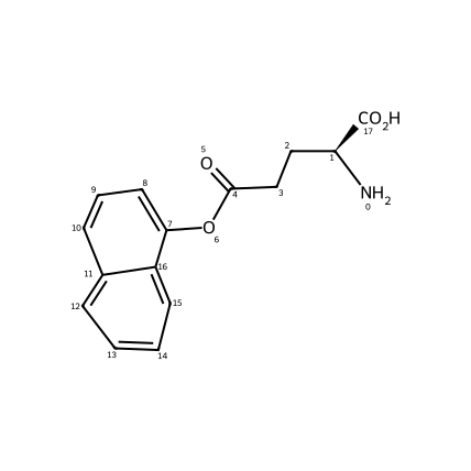 N[C@@H](CCC(=O)Oc1cccc2ccccc12)C(=O)O